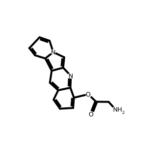 NCC(=O)Oc1cccc2cc3c(cn4ccccc34)nc12